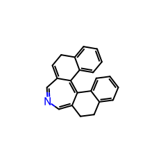 C1=NC=C2CCc3ccccc3C2=C2C1=CCc1ccccc12